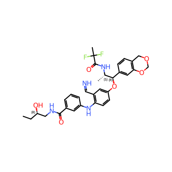 CC[C@@H](O)CNC(=O)c1cccc(Nc2ccc(O[C@H](c3ccc4c(c3)OCOC4)[C@H](C)NC(=O)C(C)(F)F)cc2C=N)c1